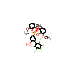 COc1cccc(OC)c1OP(=O)(Oc1c(OC)cccc1OC)c1ccc(O)c(-c2c(F)c(F)c(F)c(F)c2F)c1